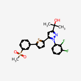 CC(C)(O)c1cc(-c2ccc(-c3cccc(S(C)(=O)=O)c3)s2)n(-c2cccc(F)c2F)n1